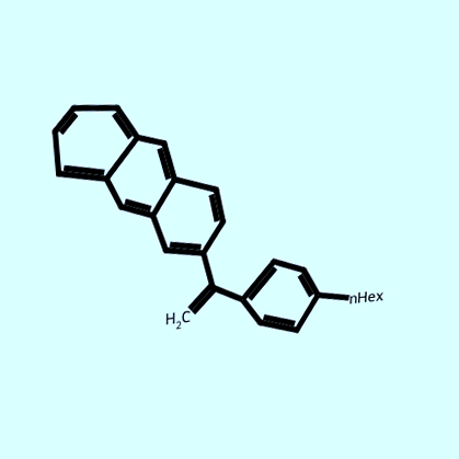 C=C(c1ccc(CCCCCC)cc1)c1ccc2cc3ccccc3cc2c1